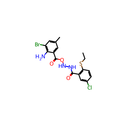 CCSc1ccc(Cl)cc1C(=O)NNOC(=O)c1cc(C)cc(Br)c1N